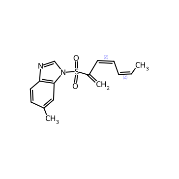 C=C(/C=C\C=C/C)S(=O)(=O)n1cnc2ccc(C)cc21